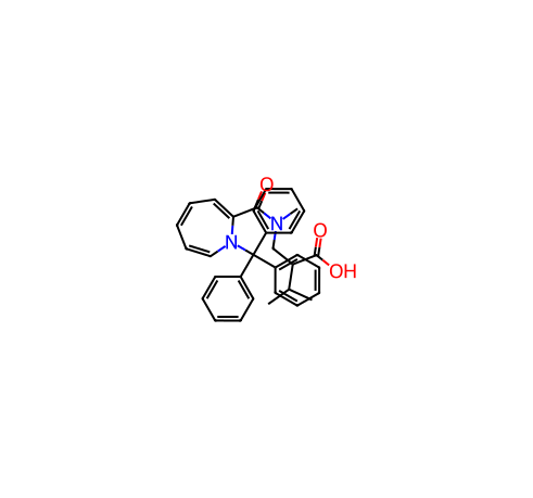 CC(C)C(CN(C)C(=O)C1=CC=CC=CN1C(c1ccccc1)(c1ccccc1)c1ccccc1)C(=O)O